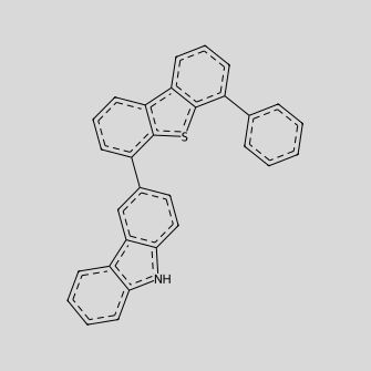 c1ccc(-c2cccc3c2sc2c(-c4ccc5[nH]c6ccccc6c5c4)cccc23)cc1